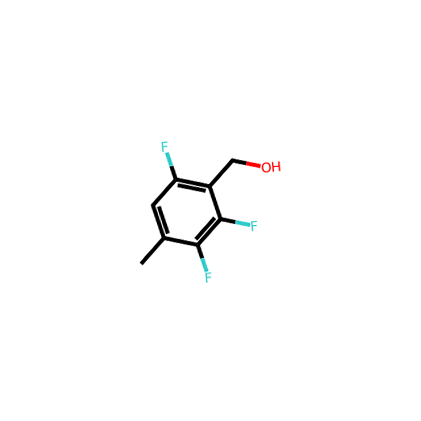 Cc1cc(F)c(CO)c(F)c1F